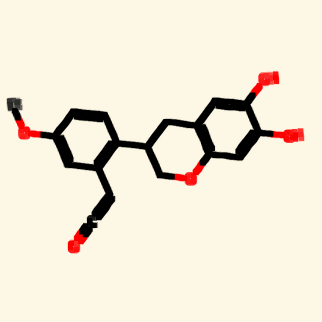 CCOc1ccc(C2COc3cc(O)c(O)cc3C2)c(C=C=O)c1